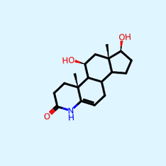 C[C@]12CCC(=O)NC1=CCC1C2[C@@H](O)C[C@@]2(C)C1CC[C@@H]2O